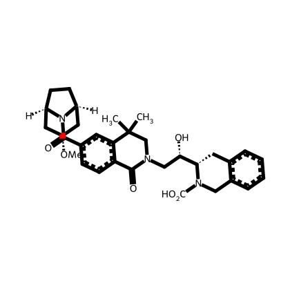 CO[C@@H]1C[C@H]2CC[C@@H](C1)N2C(=O)c1ccc2c(c1)C(C)(C)CN(C[C@H](O)[C@@H]1Cc3ccccc3CN1C(=O)O)C2=O